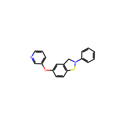 c1ccc(N2Cc3cc(Oc4cccnc4)ccc3S2)cc1